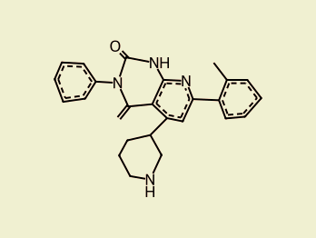 C=C1c2c(C3CCCNC3)cc(-c3ccccc3C)nc2NC(=O)N1c1ccccc1